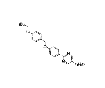 CCCCCCc1cnc(-c2ccc(OCc3ccc(OCC(C)CC)cc3)cc2)nc1